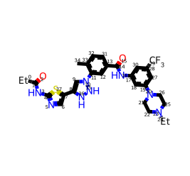 CCC(=O)Nc1ncc(C2=CN(c3cc(C(=O)Nc4cc(N5CCN(CC)CC5)cc(C(F)(F)F)c4)ccc3C)NN2)s1